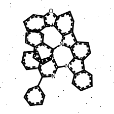 c1ccc(-c2nc(-n3c4ccccc4c4ccc5c6ccc7oc8ccccc8c7c6n(-c6cccc7ccccc67)c5c43)nc3ccccc23)cc1